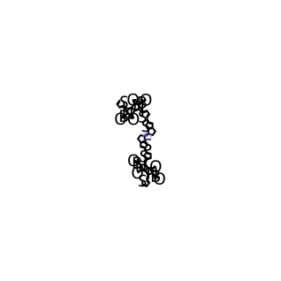 O=BN1C(=O)C2=C(c3ccc(-c4cc5c(s4)/C(=C4\CCc6cc(-c7ccc(C8=C9C(=O)N(B=O)C(c%10cccs%10)=C9C(=O)N8B=O)s7)sc64)CC5)s3)N(B=O)C(=O)C2=C1c1cccs1